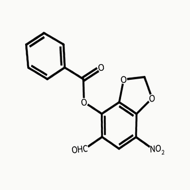 O=Cc1cc([N+](=O)[O-])c2c(c1OC(=O)c1ccccc1)OCO2